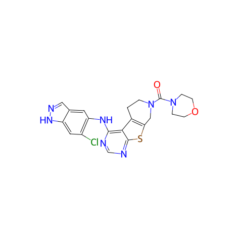 O=C(N1CCOCC1)N1CCc2c(sc3ncnc(Nc4cc5cn[nH]c5cc4Cl)c23)C1